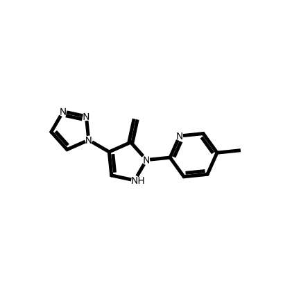 C=C1C(n2ccnn2)=CNN1c1ccc(C)cn1